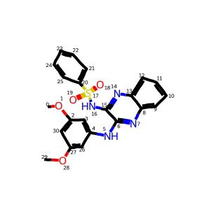 COc1cc(Nc2nc3ccccc3nc2NS(=O)(=O)c2cc[c]cc2)cc(OC)c1